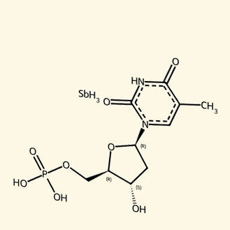 Cc1cn([C@H]2C[C@H](O)[C@@H](COP(=O)(O)O)O2)c(=O)[nH]c1=O.[SbH3]